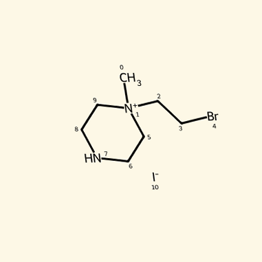 C[N+]1(CCBr)CCNCC1.[I-]